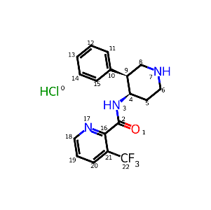 Cl.O=C(N[C@@H]1CCNC[C@@H]1c1ccccc1)c1ncccc1C(F)(F)F